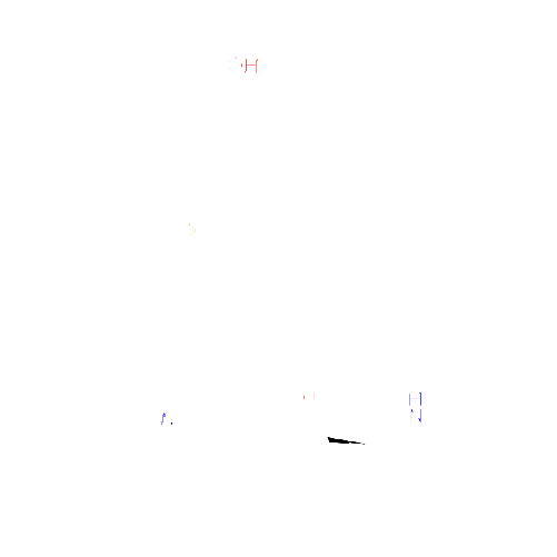 OCCc1ccc(-c2cncc(OC[C@@H]3CCN3)c2)s1